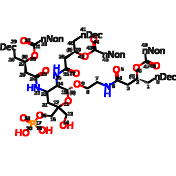 CCCCCCCCCCC[C@H](CC(=O)NCCO[C@@H]1OC(CO)(COP(=O)(O)O)CC(NC(=O)C[C@@H](CCCCCCCCCCC)OC(=O)CCCCCCCCC)C1NC(=O)C[C@@H](CCCCCCCCCCC)OC(=O)CCCCCCCCC)OC(=O)CCCCCCCCC